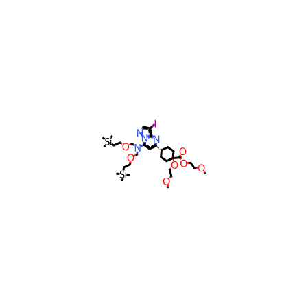 COCCOC(=O)[C@]1(OCCOC)CC[C@H](c2cc(N(COCC[Si](C)(C)C)COCC[Si](C)(C)C)n3ncc(I)c3n2)CC1